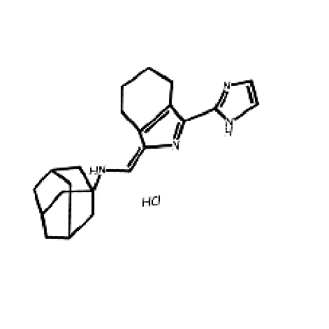 C(/NC12CC3CC(CC(C3)C1)C2)=C1\N=C(c2ncc[nH]2)C2=C1CCCC2.Cl